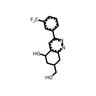 OCC1Cc2nnc(-c3cccc(C(F)(F)F)c3)cc2C(O)C1